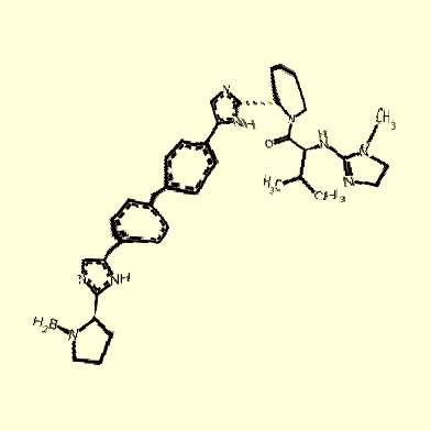 BN1CCC[C@@H]1c1ncc(-c2ccc(-c3ccc(-c4cnc([C@@H]5CCCN5C(=O)[C@@H](NC5=NCCN5C)C(C)C)[nH]4)cc3)cc2)[nH]1